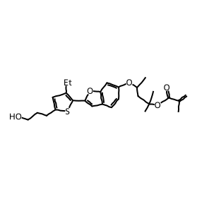 C=C(C)C(=O)OC(C)(C)CC(C)Oc1ccc2cc(-c3sc(CCCO)cc3CC)oc2c1